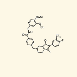 CCOc1cc(CNC(=O)c2ccc(CN3CCc4c(c(=O)n(-c5ccc(F)c(C(F)(F)F)c5)n4C)C3)cc2)ccc1OC